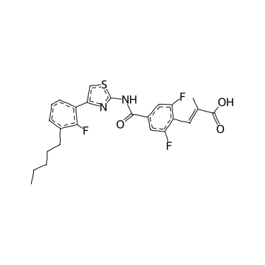 CCCCCc1cccc(-c2csc(NC(=O)c3cc(F)c(C=C(C)C(=O)O)c(F)c3)n2)c1F